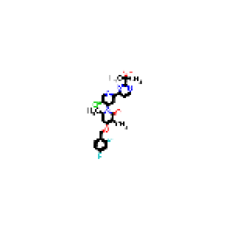 Cc1c(OCc2ccc(F)cc2F)cc(C)n(-c2cc(-c3ccnc(C(C)(C)O)n3)ncc2Cl)c1=O